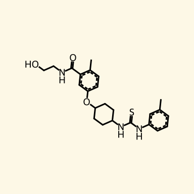 Cc1cccc(NC(=S)NC2CCC(Oc3ccc(C)c(C(=O)NCCO)c3)CC2)c1